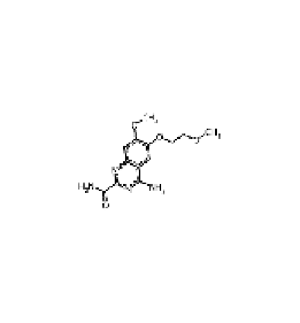 COCCOc1cc2c(N)nc(C(N)=O)nc2cc1OC